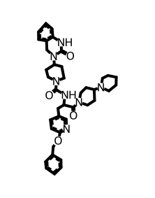 O=C(NC(Cc1ccc(OCc2ccccc2)nc1)C(=O)N1CCC(N2CCCCC2)CC1)N1CCC(N2Cc3ccccc3NC2=O)CC1